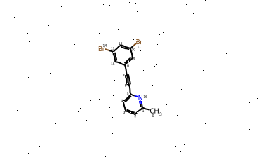 Cc1cccc(C#Cc2cc(Br)cc(Br)c2)n1